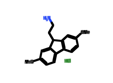 COc1ccc2c(c1)C(CCN)c1cc(OC)ccc1-2.Cl